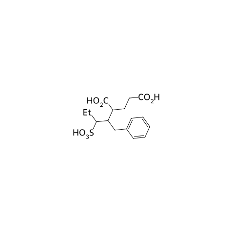 CCC(C(Cc1ccccc1)C(CCC(=O)O)C(=O)O)S(=O)(=O)O